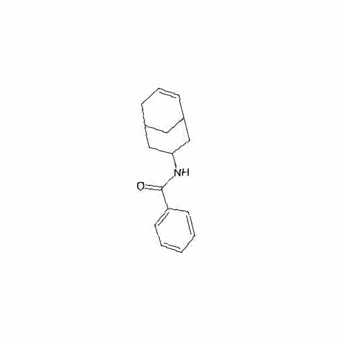 O=C(NC1CC2C=CCC(C2)C1)c1ccccc1